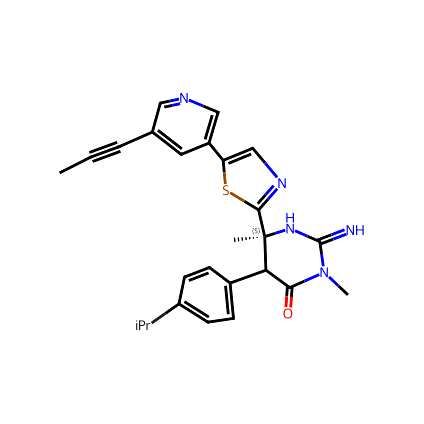 CC#Cc1cncc(-c2cnc([C@@]3(C)NC(=N)N(C)C(=O)C3c3ccc(C(C)C)cc3)s2)c1